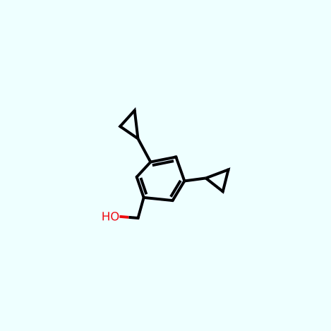 OCc1cc(C2CC2)cc(C2CC2)c1